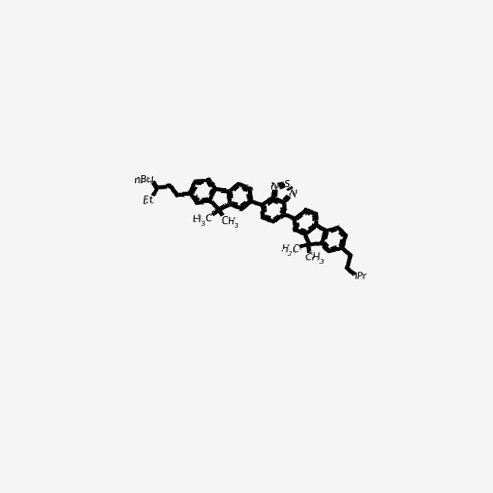 CCCCC(CC)CCc1ccc2c(c1)C(C)(C)c1cc(-c3ccc(-c4ccc5c(c4)C(C)(C)c4cc(CCC(C)C)ccc4-5)c4nsnc34)ccc1-2